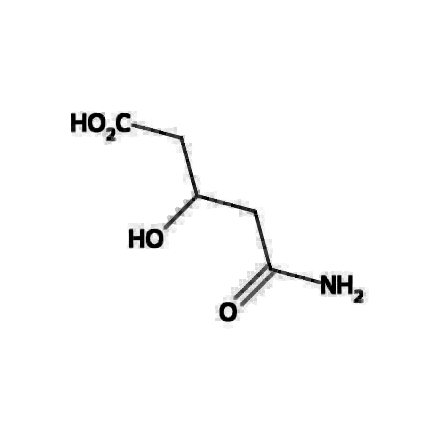 NC(=O)CC(O)CC(=O)O